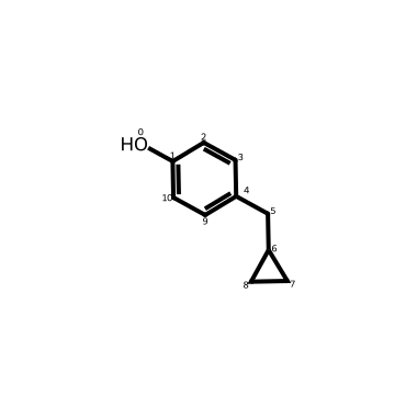 Oc1ccc(CC2CC2)cc1